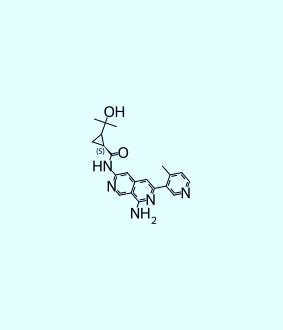 Cc1ccncc1-c1cc2cc(NC(=O)[C@H]3CC3C(C)(C)O)ncc2c(N)n1